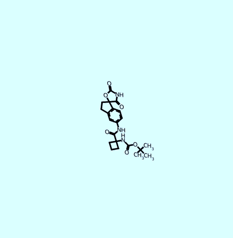 CC(C)(C)OC(=O)NC1(C(=O)Nc2ccc3c(c2)CCC32OC(=O)NC2=O)CCC1